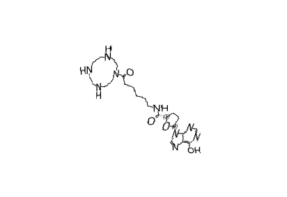 O=C(NCCCCCC(=O)N1CCNCCNCCNCC1)[C@@H]1CC[C@H](n2cnc3c(O)ncnc32)O1